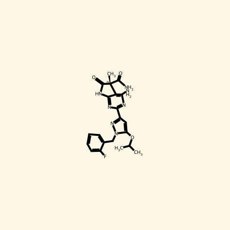 CC(C)Oc1cc(-c2nc(N)c3c(n2)NC(=O)[C@]3(C)C(N)=O)nn1Cc1ccccc1F